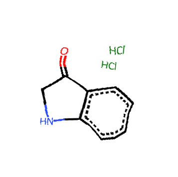 Cl.Cl.O=C1CNc2ccccc21